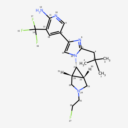 CC(C)(C)Cc1nc(-c2cnc(N)c(C(F)(F)F)c2)cn1[C@@H]1[C@@H]2CN(CCF)C[C@@H]21